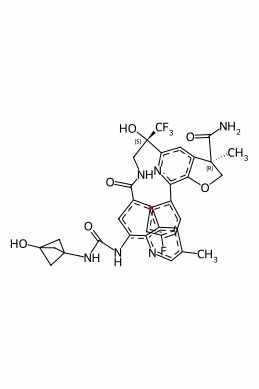 Cc1cnc2c(NC(=O)NC34CC(O)(C3)C4)cc(C(=O)NC[C@](O)(c3cc4c(c(-c5ccc(F)cc5)n3)OC[C@]4(C)C(N)=O)C(F)(F)F)cc2c1